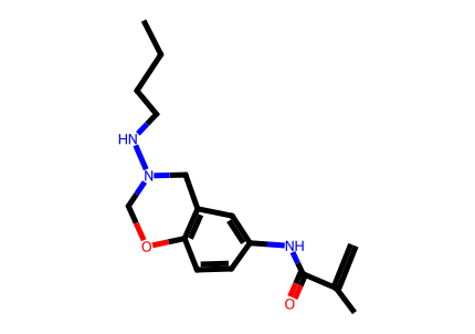 C=C(C)C(=O)Nc1ccc2c(c1)CN(NCCCC)CO2